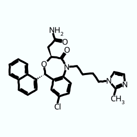 Cc1nccn1CCCCN1C(=O)[C@H](CC(N)=O)O[C@@H](c2cccc3ccccc23)c2cc(Cl)ccc21